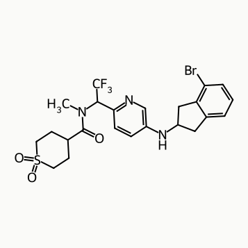 CN(C(=O)C1CCS(=O)(=O)CC1)C(c1ccc(NC2Cc3cccc(Br)c3C2)cn1)C(F)(F)F